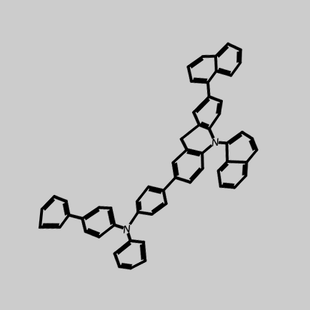 c1ccc(-c2ccc(N(c3ccccc3)c3ccc(-c4ccc5c(c4)Cc4cc(-c6cccc7ccccc67)ccc4N5c4cccc5ccccc45)cc3)cc2)cc1